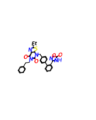 CCc1nc2c(=O)n(CCc3ccccc3)c(=O)n(Cc3ccc(-c4ccccc4-c4noc(=O)[nH]4)cc3)c2s1